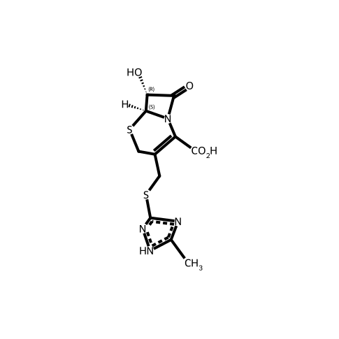 Cc1nc(SCC2=C(C(=O)O)N3C(=O)[C@@H](O)[C@@H]3SC2)n[nH]1